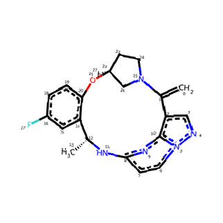 C=C1c2cnn3ccc(nc23)N[C@H](C)c2cc(F)ccc2O[C@H]2CCN1C2